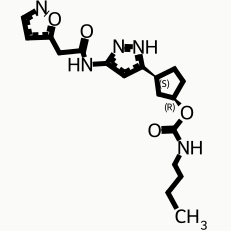 CCCCNC(=O)O[C@@H]1CC[C@H](c2cc(NC(=O)Cc3ccno3)n[nH]2)C1